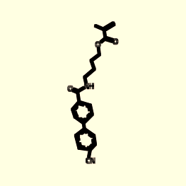 C=C(C)C(=O)OCCCCNC(=O)c1ccc(-c2ccc(C#N)cc2)cc1